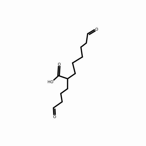 O=CCCCCCC(CCCC=O)C(=O)O